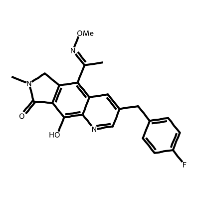 CO/N=C(\C)c1c2c(c(O)c3ncc(Cc4ccc(F)cc4)cc13)C(=O)N(C)C2